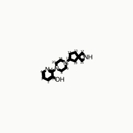 Oc1cccnc1N1CCN(C2CCC3(CNC3)C2)CC1